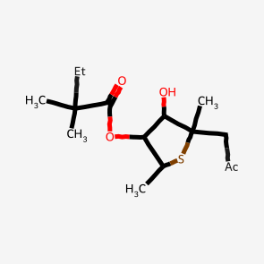 CCC(C)(C)C(=O)OC1C(C)SC(C)(CC(C)=O)C1O